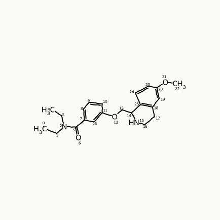 CCN(CC)C(=O)c1cccc(OCC2NCCc3cc(OC)ccc32)c1